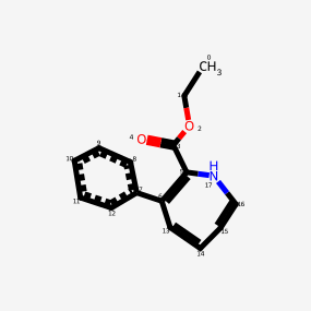 CCOC(=O)C1=C(c2ccccc2)C=CC=CN1